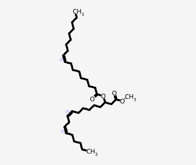 CCCCC/C=C\C/C=C\CCCCCC(CC(=O)OC)OC(=O)CCCCCCC/C=C\CCCCCCCC